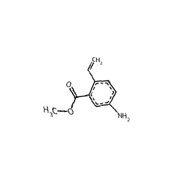 C=Cc1ccc(N)cc1C(=O)OC